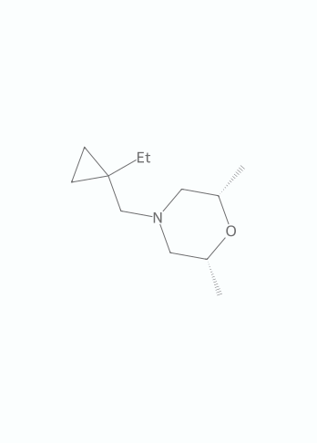 CCC1(CN2C[C@@H](C)O[C@@H](C)C2)CC1